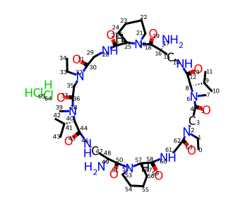 CCN1CC(=O)N(C)[C@@H](C(C)C)C(=O)NC[C@@H](N)C(=O)N2CCCC[C@H]2C(=O)NCC(=O)N(CC)CC(=O)N(C)[C@@H](C(C)C)C(=O)NC[C@@H](N)C(=O)N2CCCC[C@H]2C(=O)NCC1=O.Cl.Cl